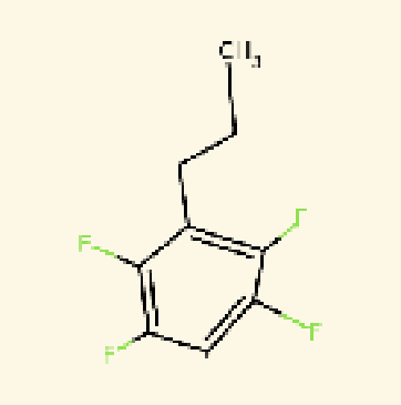 CCCc1c(F)c(F)[c]c(F)c1F